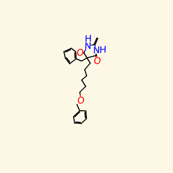 C=C1NC(=O)C(CCCCCCOCc2ccccc2)(Cc2ccccc2)C(=O)N1